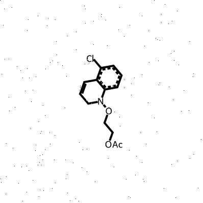 CC(=O)OCCON1CC=Cc2c(Cl)cccc21